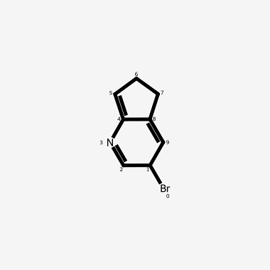 BrC1C=NC2=CCCC2=C1